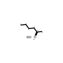 CCCCC(C)=O.[KH]